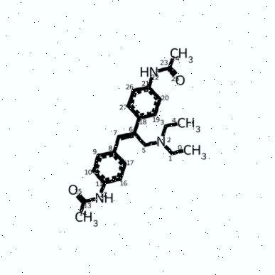 CCN(CC)CC(=Cc1ccc(NC(C)=O)cc1)c1ccc(NC(C)=O)cc1